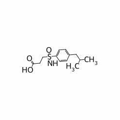 CC(C)Cc1ccc(S(=N)(=O)CCC(=O)O)cc1